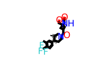 Cc1cc([C@@H]2CCN(C(=O)C3CC4(COC(=O)N4)C3)C[C@@H]2C)ccc1C(F)(F)F